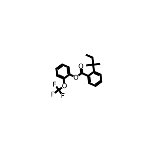 CCC(C)(C)c1ccccc1C(=O)Oc1ccccc1OC(F)(F)F